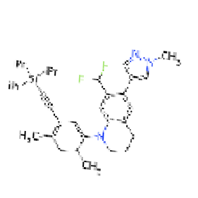 CC1=C(C#C[Si](C(C)C)(C(C)C)C(C)C)C=C(N2CCCc3cc(-c4cnn(C)c4)c(C(F)F)cc32)C(C)C1